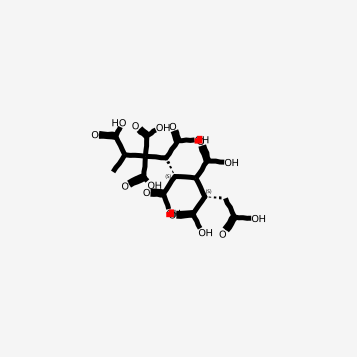 CC(C(=O)O)C(C(=O)O)(C(=O)O)C(C(=O)O)[C@@H](C(=O)O)C(C(=O)O)[C@H](CC(=O)O)C(=O)O